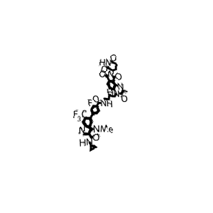 CNc1c(C(=O)NC2CC2)cnc2cc(C(F)(F)F)c(-c3ccc(C(=O)NCCCCNC(=O)[C@H](C)N(C)c4cccc5c4C(=O)N(C4CCC(=O)NC4=O)C5=O)c(F)c3)cc12